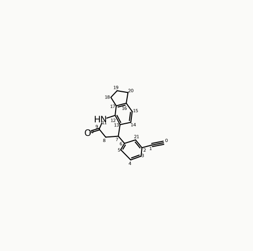 C#Cc1cccc(C2CC(=O)Nc3c2ccc2c3CCC2)c1